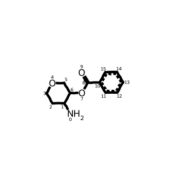 NC1CCOCC1OC(=O)c1ccccc1